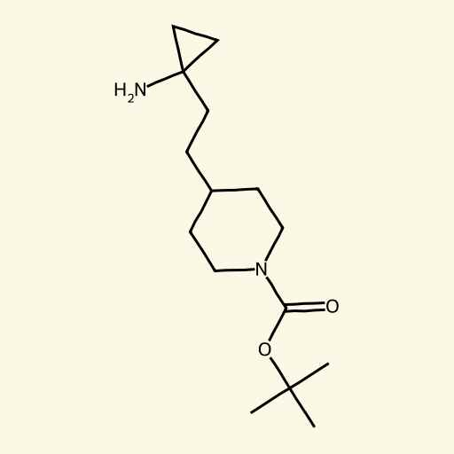 CC(C)(C)OC(=O)N1CCC(CCC2(N)CC2)CC1